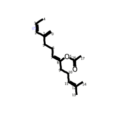 C=C(/C=C\C)CCC=C(CCC=C(C)C)OC(C)=O